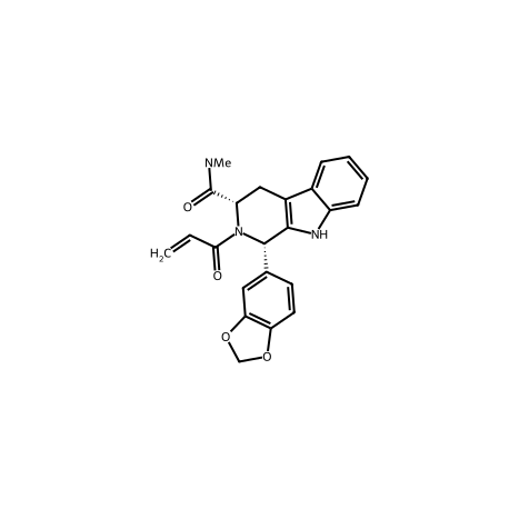 C=CC(=O)N1[C@@H](c2ccc3c(c2)OCO3)c2[nH]c3ccccc3c2C[C@H]1C(=O)NC